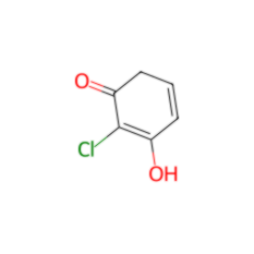 O=C1CC=CC(O)=C1Cl